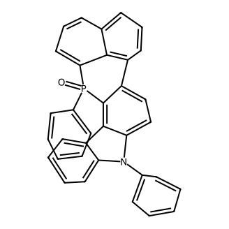 O=P1(c2ccccc2)c2cccc3cccc(c23)-c2ccc3c(c21)c1ccccc1n3-c1ccccc1